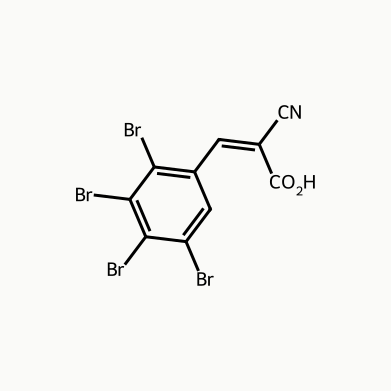 N#CC(=Cc1cc(Br)c(Br)c(Br)c1Br)C(=O)O